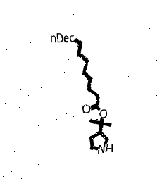 CCCCCCCCCCCCCCCCCC(=O)OC(C)(C)C1CCNC1